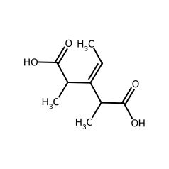 CC=C(C(C)C(=O)O)C(C)C(=O)O